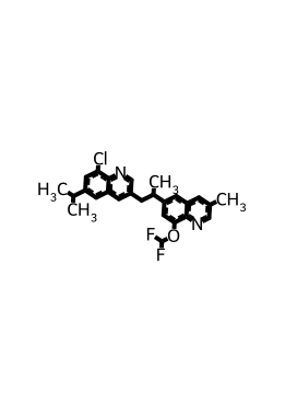 Cc1cnc2c(OC(F)F)cc(C(C)Cc3cnc4c(Cl)cc(C(C)C)cc4c3)cc2c1